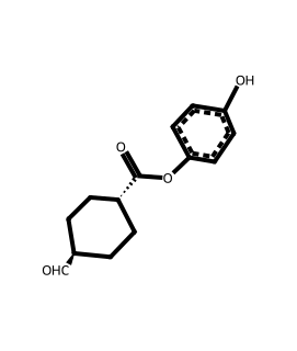 O=C[C@H]1CC[C@H](C(=O)Oc2ccc(O)cc2)CC1